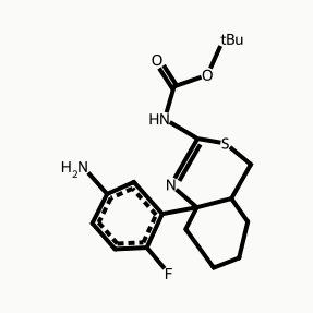 CC(C)(C)OC(=O)NC1=NC2(c3cc(N)ccc3F)CCCCC2CS1